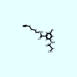 C#CCCCCNC(=O)c1cc(C)cc(NC(=O)CCl)c1